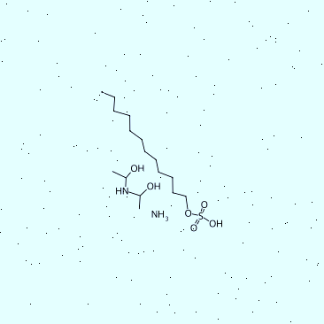 CC(O)NC(C)O.CCCCCCCCCCCCOS(=O)(=O)O.N